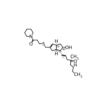 CCCC[C@](C)(O)C/C=C/[C@@H]1[C@H]2CC(CSCCC(=O)N3CCCCC3)=C[C@H]2C[C@H]1O